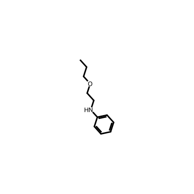 CCCOCCNc1ccccc1